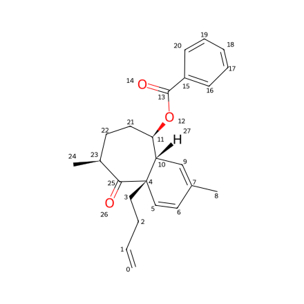 C=CCC[C@]12C=CC(C)=C[C@H]1[C@H](OC(=O)c1ccccc1)CC[C@H](C)C2=O